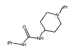 CC(C)NC(=O)NC1CCN(C(C)C)CC1